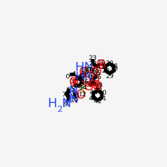 CC[C@]12O[C@@H](n3ccc(N)nc3=O)[C@H](F)[C@@]1(O)C2OP(=O)(NC(C)C(=O)OC1CCCCC1)NC(C)C(=O)OC1CCCCC1